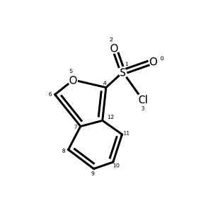 O=S(=O)(Cl)c1occ2ccccc12